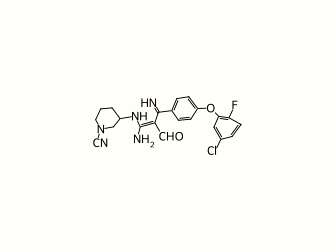 N#CN1CCCC(N/C(N)=C(/C=O)C(=N)c2ccc(Oc3cc(Cl)ccc3F)cc2)C1